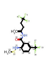 C=C(CCC(F)(F)F)NC(=O)c1cc(C(F)(F)F)ccc1NSC